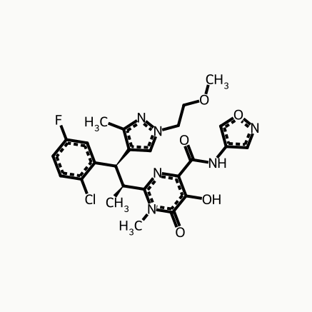 COCCn1cc([C@H](c2cc(F)ccc2Cl)[C@H](C)c2nc(C(=O)Nc3cnoc3)c(O)c(=O)n2C)c(C)n1